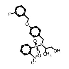 CC(CO)N(Cc1ccc(OCc2cccc(F)c2)cc1)S(=O)(=O)c1ccccc1[N+](=O)[O-]